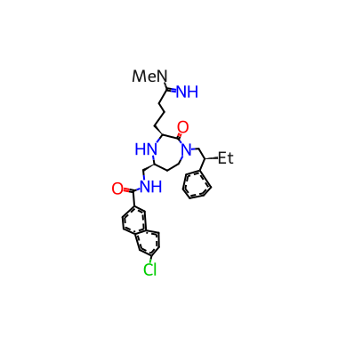 CC[C@H](CN1CC[C@@H](CNC(=O)c2ccc3cc(Cl)ccc3c2)N[C@@H](CCCC(=N)NC)C1=O)c1ccccc1